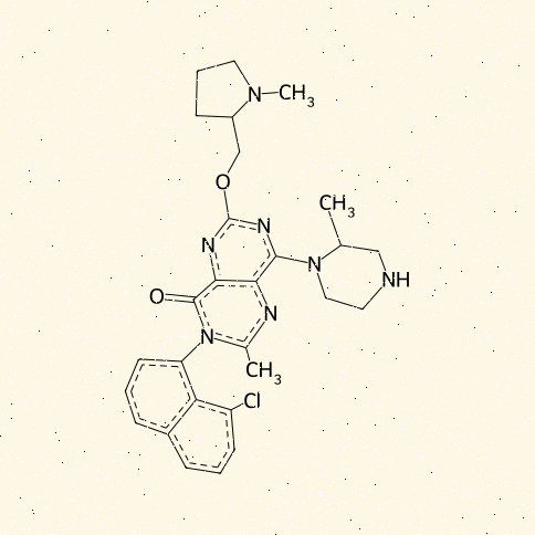 Cc1nc2c(N3CCNCC3C)nc(OCC3CCCN3C)nc2c(=O)n1-c1cccc2cccc(Cl)c12